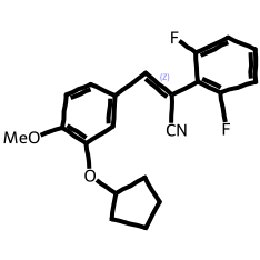 COc1ccc(/C=C(\C#N)c2c(F)cccc2F)cc1OC1CCCC1